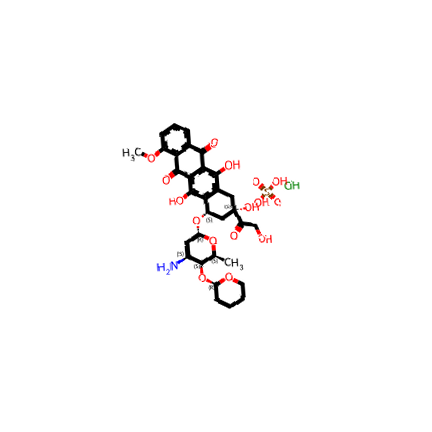 COc1cccc2c1C(=O)c1c(O)c3c(c(O)c1C2=O)C[C@@](O)(C(=O)CO)C[C@@H]3O[C@H]1C[C@H](N)[C@H](O[C@@H]2CCCCO2)[C@H](C)O1.Cl.O=S(=O)(O)O